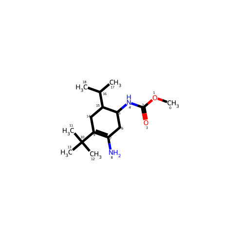 COC(=O)NC1CC(N)=C(C(C)(C)C)CC1C(C)C